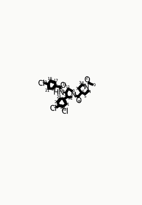 CC(=O)N1CCC(C(=O)N2CC[C@H](NC(=O)c3ccc(Cl)cc3)C(c3ccc(Cl)c(Cl)c3)C2)CC1